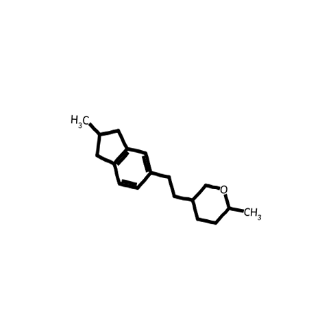 CC1Cc2ccc(CCC3CCC(C)OC3)cc2C1